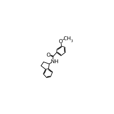 COc1cccc(C(=O)NC2CCc3ccccc32)c1